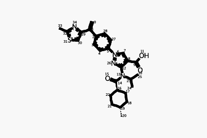 C=C(c1ccc(-n2cc(C(=O)O)c(N(C(=O)[C@H]3CC[C@H](C)CC3)C(C)C)n2)cc1)c1csc(C)n1